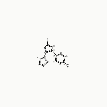 Cc1cc(-c2ccco2)n(-c2ccc(Cl)cc2)n1